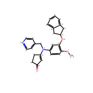 COc1ccc(N(Cc2ccncc2)C2=CC(=O)CC2)cc1OC1Cc2ccccc2C1